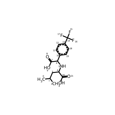 CC(C)CC(NC(C(=O)O)c1ccc(C(F)(F)F)cc1)C(=O)O